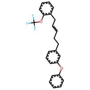 FC(F)(F)Oc1ccccc1CC=CCCc1cccc(Oc2ccccc2)c1